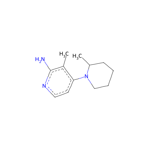 Cc1c(N2CCCCC2C)ccnc1N